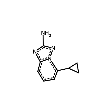 Nc1nc2cccc(C3CC3)n2n1